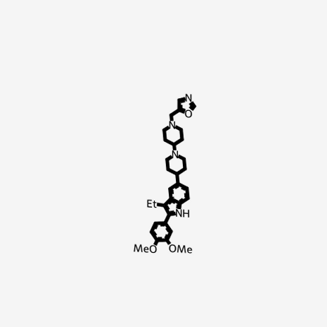 CCc1c(-c2ccc(OC)c(OC)c2)[nH]c2ccc(C3CCN(C4CCN(Cc5cnco5)CC4)CC3)cc12